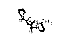 Cc1cccn2c(=O)c3cc(C(=O)N4CCCC4)sc3nc12